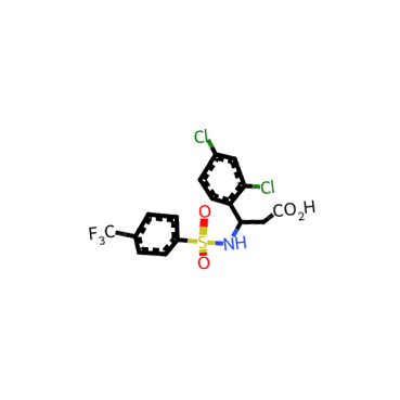 O=C(O)CC(NS(=O)(=O)c1ccc(C(F)(F)F)cc1)c1ccc(Cl)cc1Cl